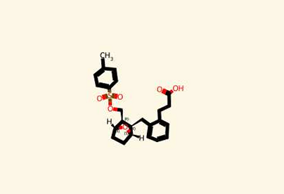 Cc1ccc(S(=O)(=O)OC[C@H]2[C@@H](Cc3ccccc3CCC(=O)O)[C@@H]3CC[C@H]2O3)cc1